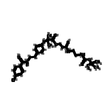 CC(C)(C)OC(=O)NCCNC(=O)OCOC(=O)C(C)(C)Oc1ccc(CCNC(=O)c2ccc(Cl)cc2)cc1